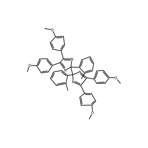 COc1ccc(C2=NC(c3ccccc3C)(C3(c4ccccc4C)N=C(c4ccc(OC)cc4)C(c4ccc(OC)cc4)=N3)N=C2c2ccc(OC)cc2)cc1